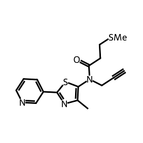 C#CCN(C(=O)CCSC)c1sc(-c2cccnc2)nc1C